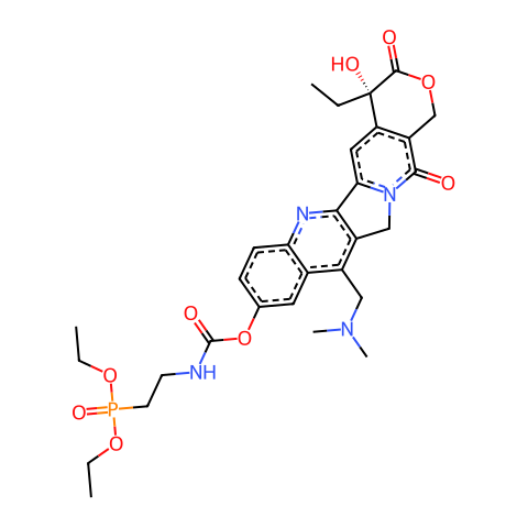 CCOP(=O)(CCNC(=O)Oc1ccc2nc3c(c(CN(C)C)c2c1)Cn1c-3cc2c(c1=O)COC(=O)[C@]2(O)CC)OCC